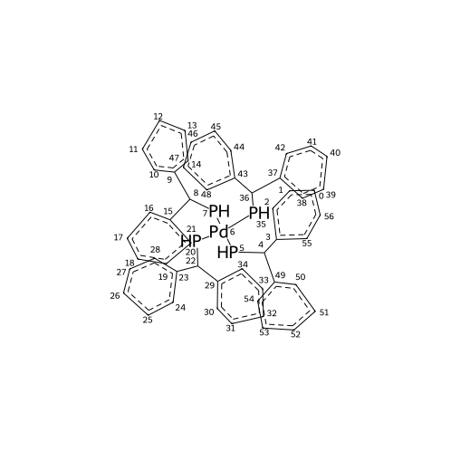 c1ccc(C([PH][Pd]([PH]C(c2ccccc2)c2ccccc2)([PH]C(c2ccccc2)c2ccccc2)[PH]C(c2ccccc2)c2ccccc2)c2ccccc2)cc1